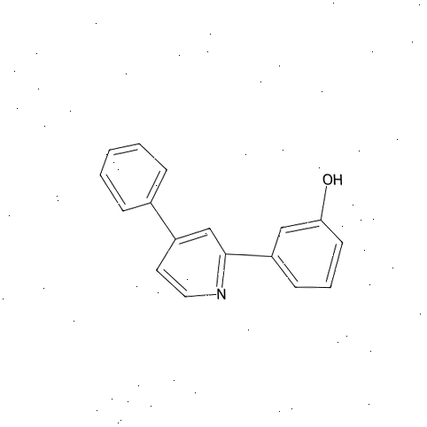 Oc1cccc(-c2cc(-c3ccccc3)ccn2)c1